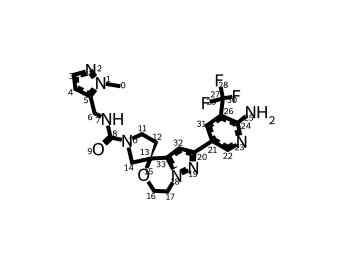 Cn1nccc1CNC(=O)N1CC[C@]2(C1)OCCn1nc(-c3cnc(N)c(C(F)(F)F)c3)cc12